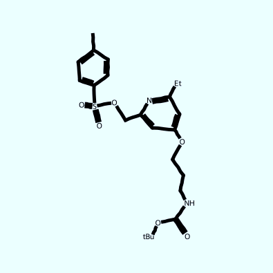 CCc1cc(OCCCNC(=O)OC(C)(C)C)cc(COS(=O)(=O)c2ccc(C)cc2)n1